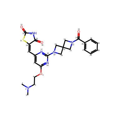 CN(C)CCOc1cc(C=C2SC(=O)NC2=O)nc(N2CC3(CN(C(=O)c4ccccc4)C3)C2)n1